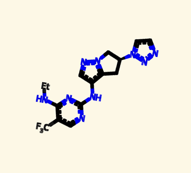 CCNc1nc(Nc2cnn3c2C[C@H](n2ccnn2)C3)ncc1C(F)(F)F